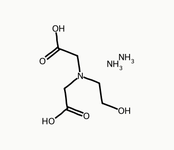 N.N.O=C(O)CN(CCO)CC(=O)O